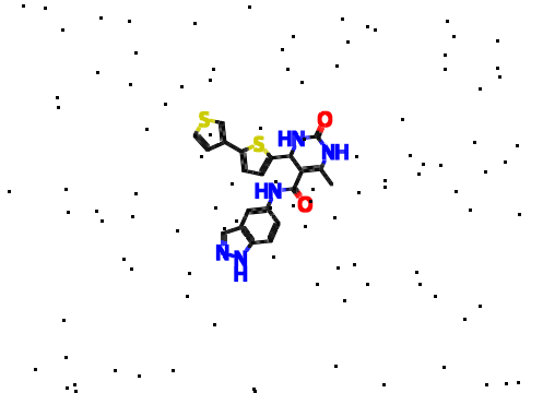 CC1=C(C(=O)Nc2ccc3[nH]ncc3c2)C(c2ccc(-c3ccsc3)s2)NC(=O)N1